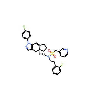 C[C@]12Cc3cnn(-c4ccc(F)cc4)c3C=C1CC[C@@H]2CN(CCc1ccccc1F)S(=O)(=O)Cc1cccnc1